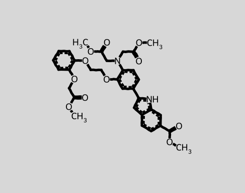 COC(=O)COc1ccccc1OCCOc1cc(-c2cc3ccc(C(=O)OC)cc3[nH]2)ccc1N(CC(=O)OC)CC(=O)OC